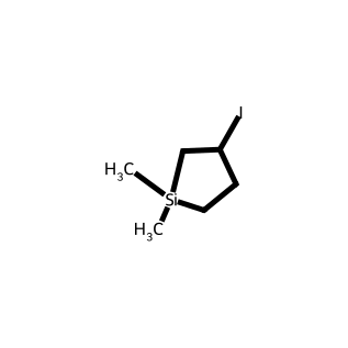 C[Si]1(C)CCC(I)C1